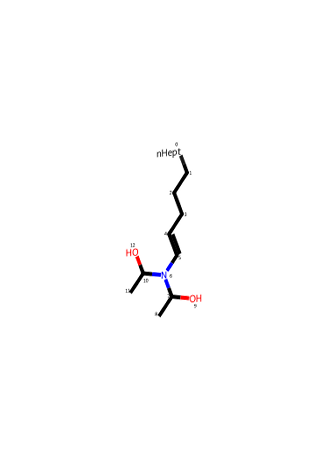 CCCCCCCCCCC=CN(C(C)O)C(C)O